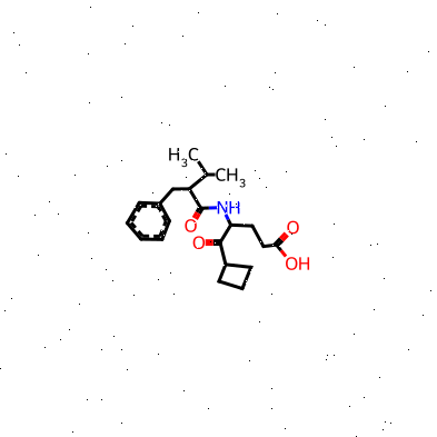 CC(C)C(Cc1ccccc1)C(=O)NC(CCC(=O)O)C(=O)C1CCC1